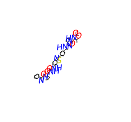 COC(=O)N[C@H](C(=O)N1CCCC1c1ncc(-c2ccc(-c3nc4ccc(NC(=O)NC(=O)C5CCCN5C(=O)C(c5ccccc5)N(C)C)cc4s3)cc2)[nH]1)C(C)C